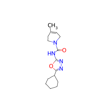 CC1=CCN(C(=O)Nc2nnc(C3CCCCC3)o2)CC1